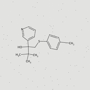 Cc1ccc(SCC(O)(c2cccnc2)C(C)(C)C)cc1